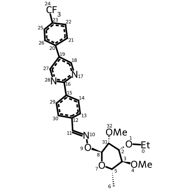 CCO[C@@H]1[C@@H](OC)[C@H](C)O[C@@H](O/N=C/c2ccc(-c3ncc(-c4ccc(C(F)(F)F)cc4)cn3)cc2)[C@@H]1OC